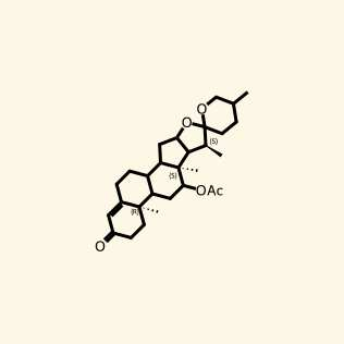 CC(=O)OC1CC2C(CCC3=CC(=O)CC[C@@]32C)C2CC3OC4(CCC(C)CO4)[C@@H](C)C3[C@@]12C